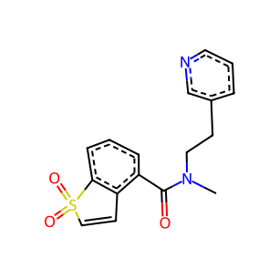 CN(CCc1cccnc1)C(=O)c1cccc2c1C=CS2(=O)=O